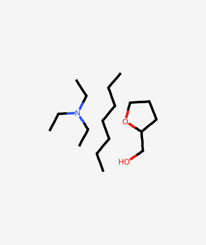 CCCCCCC.CCN(CC)CC.OCC1CCCO1